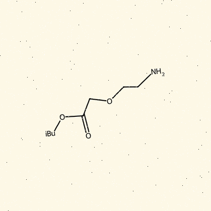 CCC(C)OC(=O)COCCN